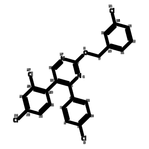 Clc1ccc(-c2nc(OCc3cccc(Cl)c3)ncc2-c2ccc(Cl)cc2Cl)cc1